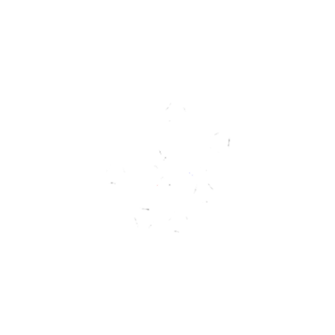 CCc1ccc(Cc2cn(C3O[C@H](COCc4ccccc4)[C@@H](OCc4ccccc4)[C@H](OCc4ccccc4)[C@H]3OCc3ccccc3)c3ccccc23)cc1